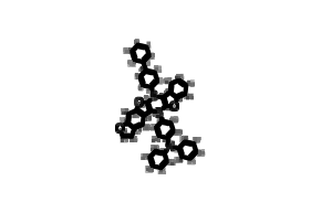 c1ccc(-c2ccc(B3c4oc5cc6occc6cc5c4B(c4ccc(N(c5ccccc5)c5ccccc5)cc4)c4oc5ccccc5c43)cc2)cc1